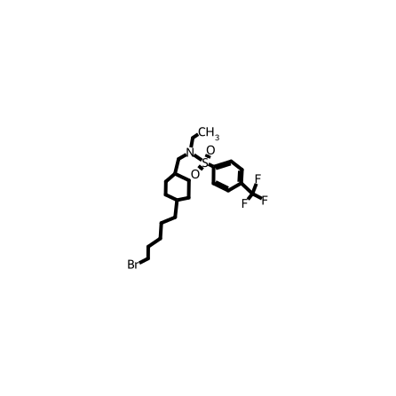 CCN(CC1CCC(CCCCCBr)CC1)S(=O)(=O)c1ccc(C(F)(F)F)cc1